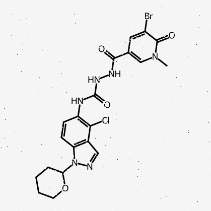 Cn1cc(C(=O)NNC(=O)Nc2ccc3c(cnn3C3CCCCO3)c2Cl)cc(Br)c1=O